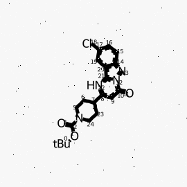 CC(C)(C)OC(=O)N1CCC(c2cc(=O)n3nc4ccc(Cl)cc4c3[nH]2)CC1